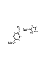 COc1ccc(C(=O)C#Cc2cccs2)cc1